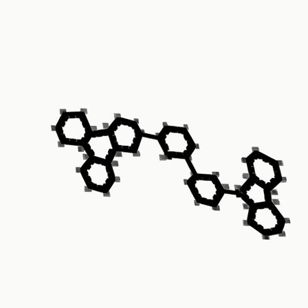 c1cc(-c2cccc(-c3ccc4c5ccccc5c5ccccc5c4c3)n2)cc(-n2c3ccccc3c3ccccc32)c1